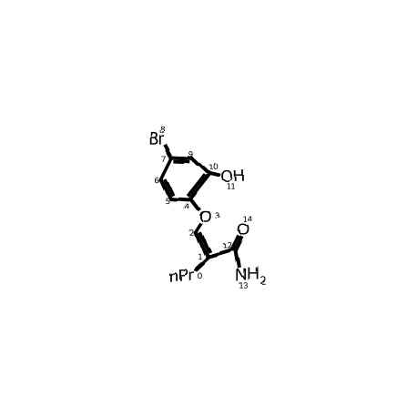 CCCC(=COc1ccc(Br)cc1O)C(N)=O